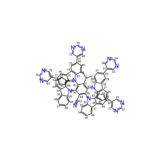 CC(C)c1c(-n2c3ccc(-c4cncnc4)cc3c3cc(-c4cncnc4)ccc32)c(-n2c3ccccc3c3ccccc32)c(C#N)c(-n2c3ccccc3c3ccccc32)c1-n1c2ccc(-c3cncnc3)cc2c2cc(-c3cncnc3)ccc21